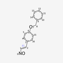 O=N/C=C/c1ccc(OCc2ccccc2)cc1